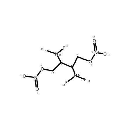 O=[N+]([O-])OCC(C(CO[N+](=O)[O-])N(F)F)N(F)F